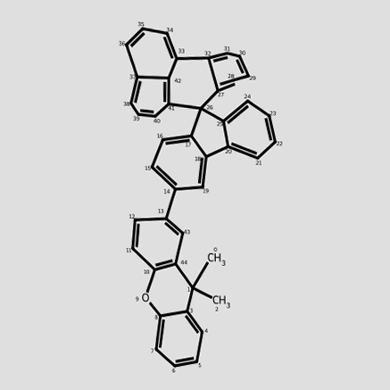 CC1(C)c2ccccc2Oc2ccc(-c3ccc4c(c3)-c3ccccc3C43c4ccccc4-c4cccc5cccc3c45)cc21